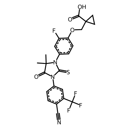 CC1(C)C(=O)N(c2ccc(C#N)c(C(F)(F)F)c2)C(=S)N1c1ccc(OCC2(C(=O)O)CC2)c(F)c1